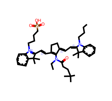 CCCCN1/C(=C/C=C2\CCC(/C=C/C3=[N+](CCCCS(=O)(=O)O)c4ccccc4C3(C)C)=C2N(CC)C(=O)CCC(C)(C)C)C(C)(C)c2ccccc21